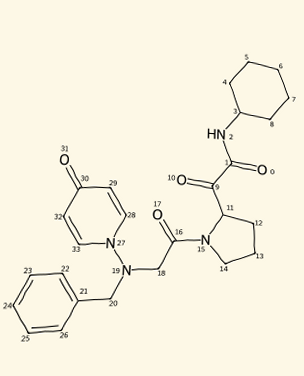 O=C(NC1CCCCC1)C(=O)C1CCCN1C(=O)CN(Cc1ccccc1)n1ccc(=O)cc1